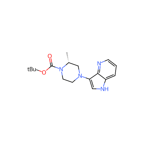 C[C@@H]1CN(c2c[nH]c3cccnc23)CCN1C(=O)OC(C)(C)C